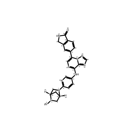 CC(C)N1C[C@@H]2C[C@H]1CN2c1ccc(Nc2ncc(-c3ccc4c(c3)CNC4=O)n3ncnc23)cn1